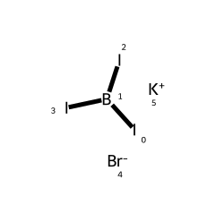 IB(I)I.[Br-].[K+]